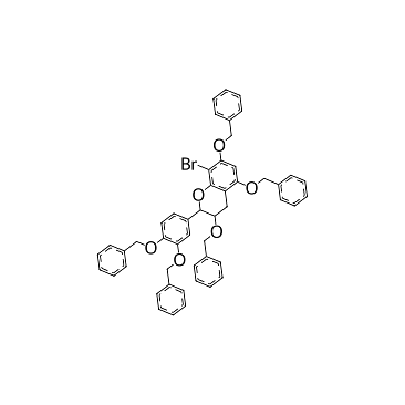 Brc1c(OCc2ccccc2)cc(OCc2ccccc2)c2c1OC(c1ccc(OCc3ccccc3)c(OCc3ccccc3)c1)C(OCc1ccccc1)C2